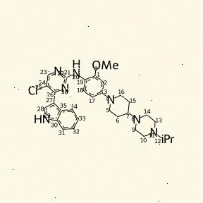 COc1cc(N2CCC(N3CCN(C(C)C)CC3)CC2)ccc1Nc1ncc(Cl)c(-c2c[nH]c3ccccc23)n1